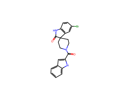 O=C(C1=Cc2ccccc2[N]1)N1CCC2(CC1)C(=O)Nc1ccc(Br)cc12